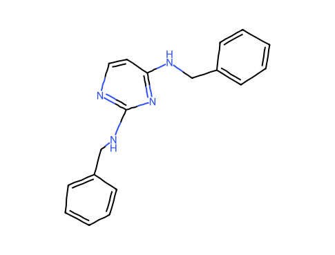 c1ccc(CNc2ccnc(NCc3ccccc3)n2)cc1